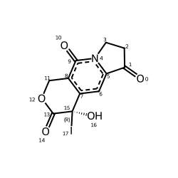 O=C1CCn2c1cc1c(c2=O)COC(=O)[C@]1(O)I